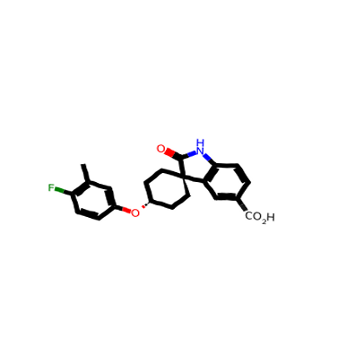 Cc1cc(O[C@H]2CC[C@@]3(CC2)C(=O)Nc2ccc(C(=O)O)cc23)ccc1F